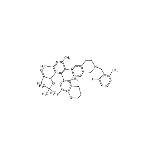 Cc1cccc(F)c1CN1CCc2cc(-c3c(C)nc(C)c(C(OC(C)(C)C)C(=O)O)c3-c3cc(F)c4c(c3C)CCCO4)ccc2C1